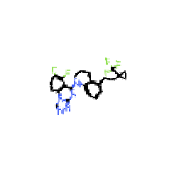 Fc1ccc2c(c(N3CCCc4c(CCC5(C(F)(F)F)CC5)cccc43)nc3nncn32)c1F